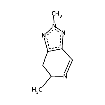 CC1Cc2nn(C)nc2C=N1